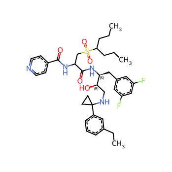 CCCC(CCC)S(=O)(=O)CC(NC(=O)c1ccncc1)C(=O)N[C@@H](Cc1cc(F)cc(F)c1)[C@H](O)CNC1(c2cccc(CC)c2)CC1